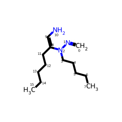 C=NN(CCCCC)/C(=C\N)CCCCC